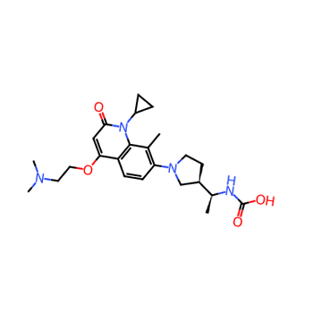 Cc1c(N2CC[C@@H]([C@H](C)NC(=O)O)C2)ccc2c(OCCN(C)C)cc(=O)n(C3CC3)c12